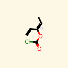 C=C/C(=C\C)OC(=O)Cl